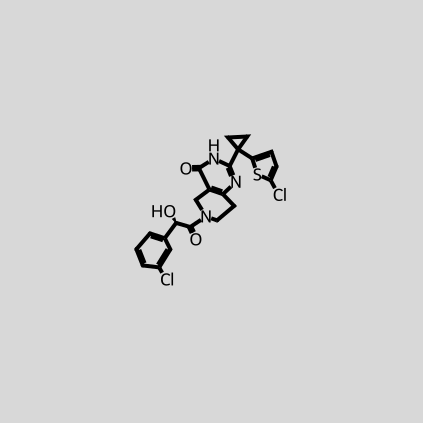 O=C([C@H](O)c1cccc(Cl)c1)N1CCc2nc(C3(c4ccc(Cl)s4)CC3)[nH]c(=O)c2C1